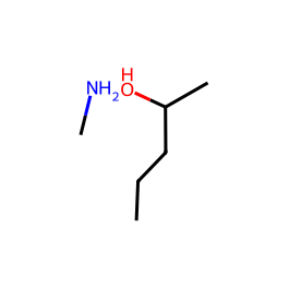 CCCC(C)O.CN